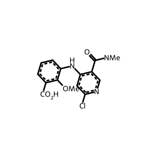 CNC(=O)c1cnc(Cl)cc1Nc1cccc(C(=O)O)c1OC